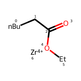 CCCCCC(=O)OCC.[Zr+4]